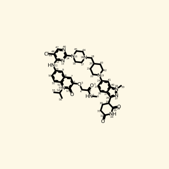 CNC(=O)COc1cc2cc(Nc3nc(N4CCN(CC5CCN(c6ccc7c(C8CCC(=O)NC8=O)nn(C)c7c6)CC5)CC4)ncc3Cl)ccc2n(C(C)C)c1=O